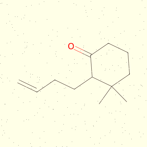 C=CCCC1C(=O)CCCC1(C)C